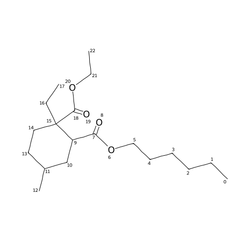 CCCCCCOC(=O)C1CC(C)CCC1(CC)C(=O)OCC